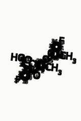 Cc1cc(C(=O)n2c(C)c(CC(=O)O)c3cc(F)ccc32)ccc1OC[C@@H]1CN(C)c2cc(F)ccc2O1